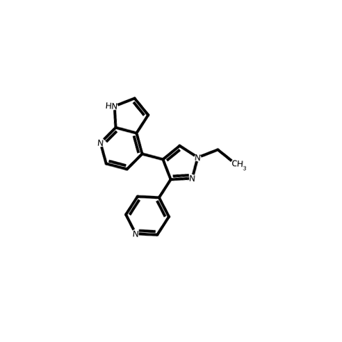 CCn1cc(-c2ccnc3[nH]ccc23)c(-c2ccncc2)n1